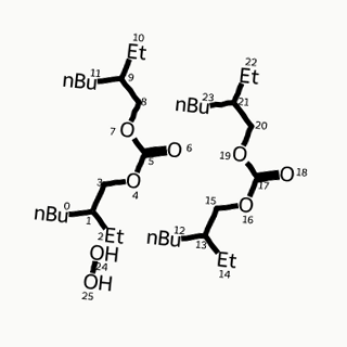 CCCCC(CC)COC(=O)OCC(CC)CCCC.CCCCC(CC)COC(=O)OCC(CC)CCCC.OO